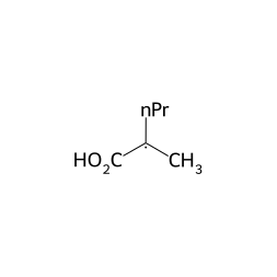 CCC[C](C)C(=O)O